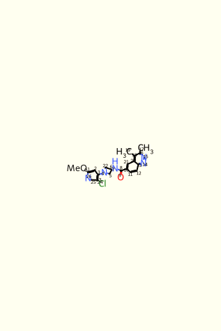 COc1cc(N2CC(NC(=O)c3ccc4nnc(C)c(C)c4c3)C2)c(Cl)cn1